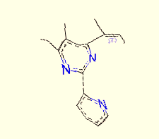 C/C=C(/C)c1nc(-c2ccccn2)nc(C)c1C